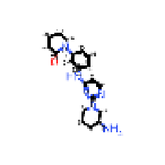 NC1CCCN(c2nccc(Nc3cccc(N4CCCCC4=O)c3)n2)C1